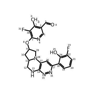 Cc1c(C=O)cnc(OC2CC3CNc4nnc(-c5cccc(F)c5O)cc4N3C2)c1F